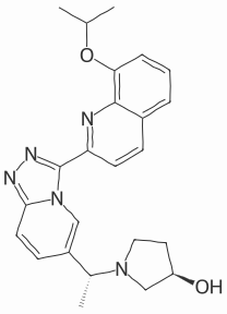 CC(C)Oc1cccc2ccc(-c3nnc4ccc([C@@H](C)N5CC[C@@H](O)C5)cn34)nc12